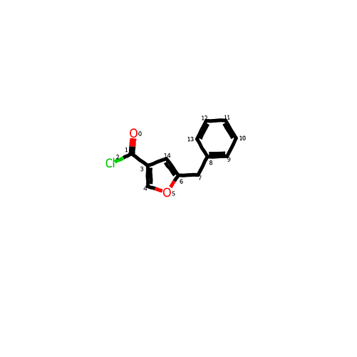 O=C(Cl)c1coc(Cc2ccccc2)c1